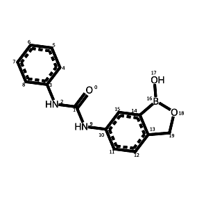 O=C(Nc1ccccc1)Nc1ccc2c(c1)B(O)OC2